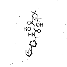 C[C@@H](NC(=O)[C@H](O)[C@@H](O)C(=O)N1CC(C)(C)CC1(C)C)c1ccc(-n2cccn2)cc1